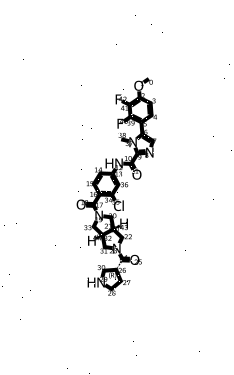 COc1ccc(-c2cnc(C(=O)Nc3ccc(C(=O)N4C[C@@H]5CN(C(=O)[C@@H]6CCNC6)C[C@@H]5C4)c(Cl)c3)n2C)c(F)c1F